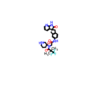 CC(C)(C(=O)N(CC(=O)Nc1ccc2c(c1)C[C@@]1(C2)C(=O)Nc2ncccc21)[C@]1(O)CCCNC1)C(F)(F)F